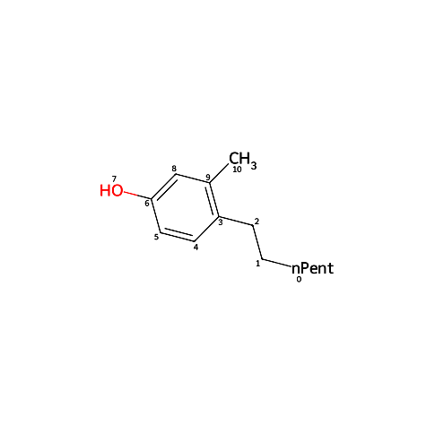 CCCCCCCc1ccc(O)cc1C